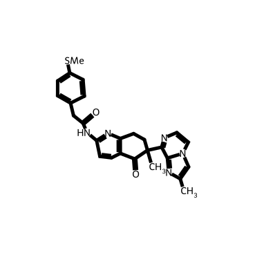 CSc1ccc(CC(=O)Nc2ccc3c(n2)CCC(C)(c2nccn4cc(C)nc24)C3=O)cc1